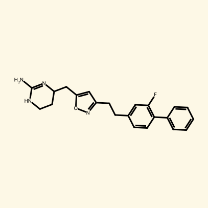 NC1=NC(Cc2cc(CCc3ccc(-c4ccccc4)c(F)c3)no2)CCN1